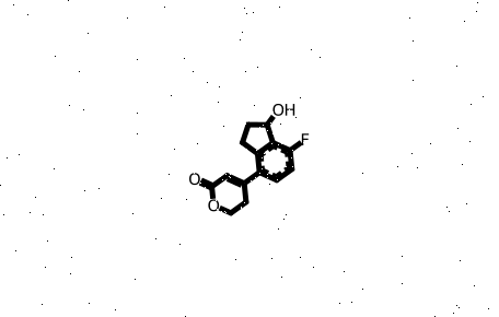 O=C1C=C(c2ccc(F)c3c2CCC3O)CCO1